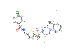 N#Cc1nccnc1N1CCN(S(=O)(=O)c2ccc(CNC(=O)c3ccc(Cl)cc3)s2)CC1